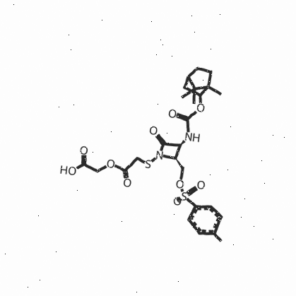 Cc1ccc(S(=O)(=O)OC[C@@H]2[C@H](NC(=O)OC3CC4CCC3(C)C4(C)C)C(=O)N2SCC(=O)OCC(=O)O)cc1